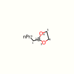 CCCCB1OCCO1